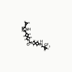 O=C(N1CC2(CC(NCC3(C(F)(F)F)CC3)C2)C1)N1CC2(CC(c3nnc(C4CC4)[nH]3)C2)C1